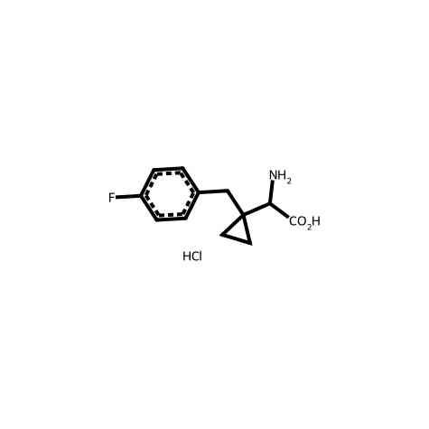 Cl.NC(C(=O)O)C1(Cc2ccc(F)cc2)CC1